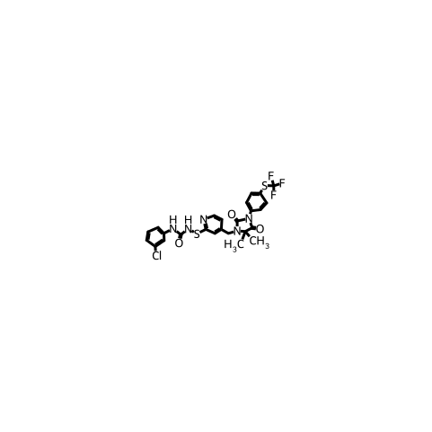 CC1(C)C(=O)N(c2ccc(SC(F)(F)F)cc2)C(=O)N1Cc1ccnc(SNC(=O)Nc2cccc(Cl)c2)c1